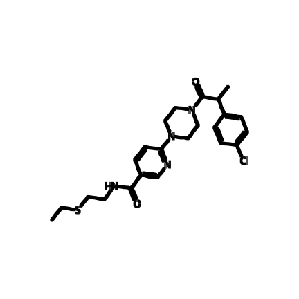 CCSCCNC(=O)c1ccc(N2CCN(C(=O)C(C)c3ccc(Cl)cc3)CC2)nc1